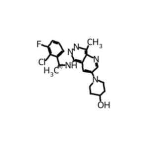 Cc1nnc(N[C@H](C)c2cccc(F)c2Cl)c2cc(N3CCC(O)CC3)cnc12